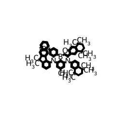 Cc1cc2c3c(c1)N(c1ccc4c(c1)C(C)(C)CCC4(C)C)c1c(oc4cc5c(cc14)C(C)(C)CCC5(C)C)B3c1ccc(C(C)(C)C)cc1N2c1cccc2c1-c1cc3ccccc3cc1C2(C)C